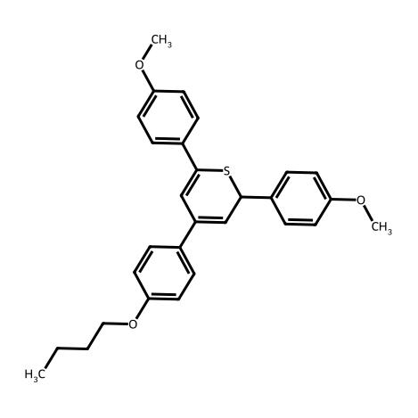 CCCCOc1ccc(C2=CC(c3ccc(OC)cc3)SC(c3ccc(OC)cc3)=C2)cc1